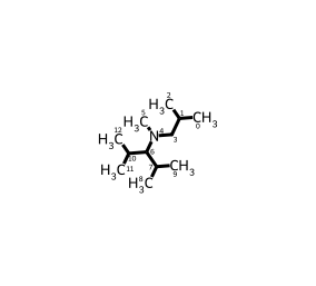 CC(C)CN(C)C(C(C)C)C(C)C